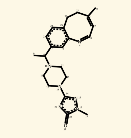 C/C1=C/C=N\c2cc(C(C)N3CCN(c4nn(C)c(=O)s4)CC3)ccc2CC1